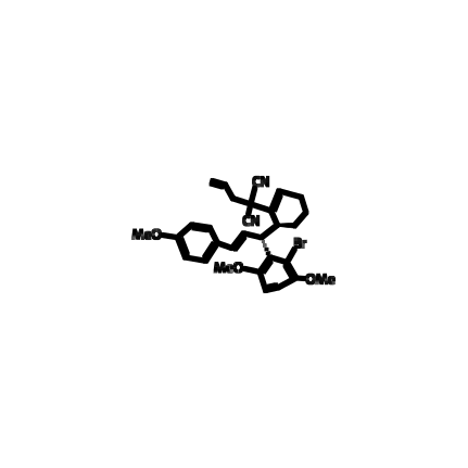 C=CCC(C#N)(C#N)C1=CCCC[C@H]1[C@@H](/C=C/c1ccc(OC)cc1)c1c(OC)ccc(OC)c1Br